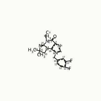 CCN1C(=O)c2ncn(Cc3ccc(F)c(F)c3)c2N2CC(C)(C)N=C12